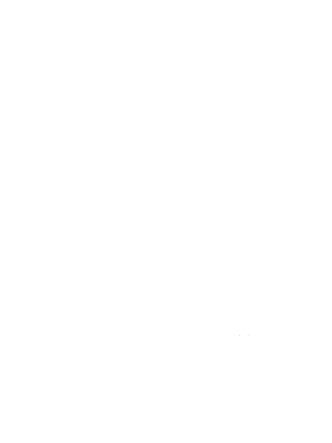 C1=CCC(C2=CCC(c3c4c(c(C5CC6C=CCCC6C6=C5C5C=CC=CC5O6)c5c3=CCCC=5)C=CCC4)C=C2)C=C1